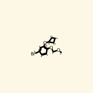 COCOc1ccc(Br)cc1OC1CCC1